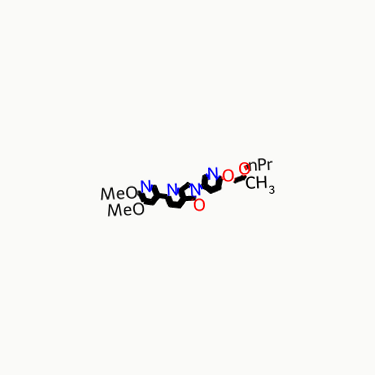 CCCOC(C)COc1ccc(N2Cc3nc(-c4cnc(OC)c(OC)c4)ccc3C2=O)cn1